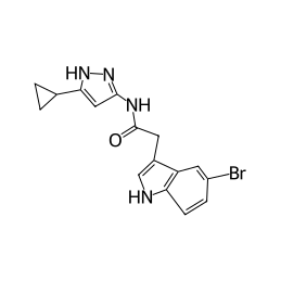 O=C(Cc1c[nH]c2ccc(Br)cc12)Nc1cc(C2CC2)[nH]n1